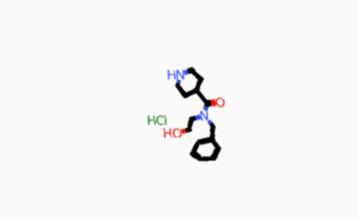 Cl.O=C(C1CCNCC1)N(CCO)Cc1ccccc1